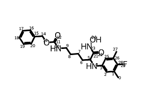 Cc1cc(NC(CCCCNC(=O)OCc2ccccc2)C(=O)NO)cc(C)c1F